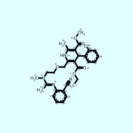 CCOC(=O)C1=C(COCCN(C)C(C)=Nc2ccccc2C#N)NC(C)=C(C(=O)OC)C1c1ccccc1Cl